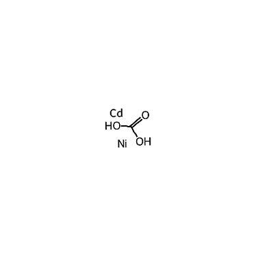 O=C(O)O.[Cd].[Ni]